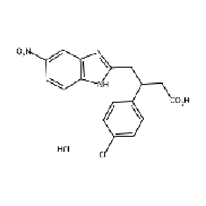 Cl.O=C(O)CC(Cc1nc2cc([N+](=O)[O-])ccc2[nH]1)c1ccc(Cl)cc1